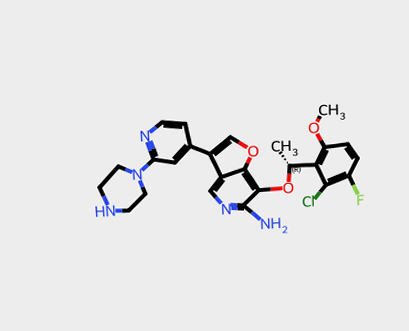 COc1ccc(F)c(Cl)c1[C@@H](C)Oc1c(N)ncc2c(-c3ccnc(N4CCNCC4)c3)coc12